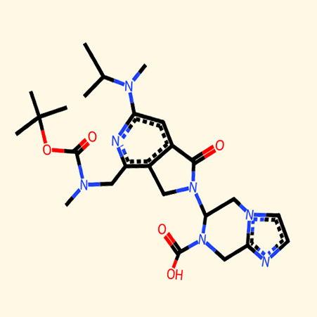 CC(C)N(C)c1cc2c(c(CN(C)C(=O)OC(C)(C)C)n1)CN(C1Cn3ccnc3CN1C(=O)O)C2=O